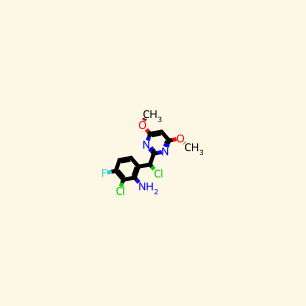 COc1cc(OC)nc(C(Cl)c2ccc(F)c(Cl)c2N)n1